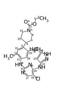 CCOC(=O)N1CCC(c2cc(C)c(Nc3ncc(Cl)c(Nc4cc(C)[nH]n4)n3)cc2C)CC1